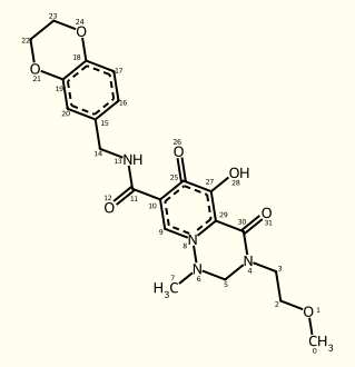 COCCN1CN(C)n2cc(C(=O)NCc3ccc4c(c3)OCCO4)c(=O)c(O)c2C1=O